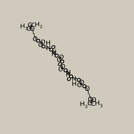 C=C(C)C(=O)OCCCCCCOc1ccc(C(=O)Oc2ccc(CNc3ccc(N=Nc4ccc(C(=O)Oc5cccc6c(OC(=O)c7ccc(N=Nc8ccc(NCc9ccc(OC(=O)c%10ccc(OCCCCCCOC(=O)C(=C)C)cc%10)cc9)c9ccccc89)cc7)cccc56)cc4)c4ccccc34)cc2)cc1